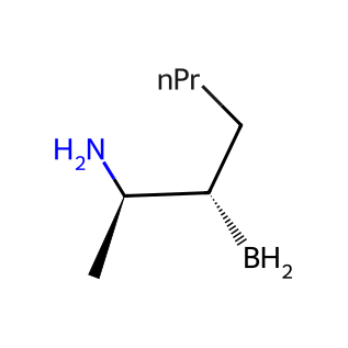 B[C@@H](CCCC)[C@@H](C)N